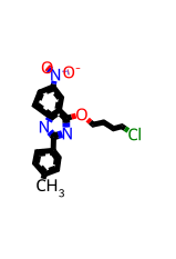 Cc1ccc(-c2nc(OCCCCCl)c3cc([N+](=O)[O-])ccc3n2)cc1